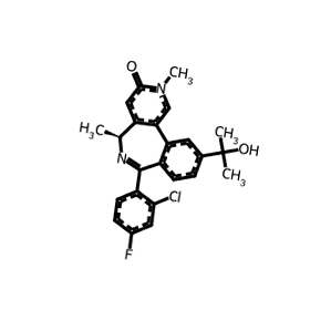 C[C@@H]1N=C(c2ccc(F)cc2Cl)c2ccc(C(C)(C)O)cc2-c2cn(C)c(=O)cc21